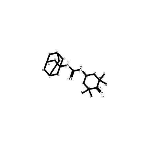 CC1(C)CC(NC(=O)NC23CC4CC(CC(C4)C2)C3)CC(C)(C)C1=O